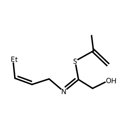 C=C(C)S/C(CO)=N\C/C=C\CC